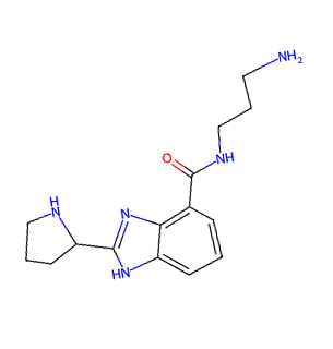 NCCCNC(=O)c1cccc2[nH]c(C3CCCN3)nc12